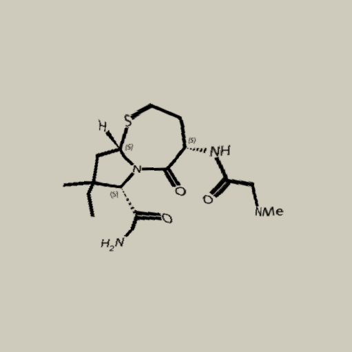 CNCC(=O)N[C@H]1CCS[C@H]2CC(C)(C)[C@@H](C(N)=O)N2C1=O